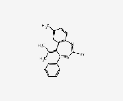 CC(C)=C1C(c2ccccc2)=NC(C(C)C)=Nc2ccc(C)cc21